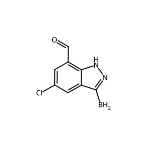 Bc1n[nH]c2c(C=O)cc(Cl)cc12